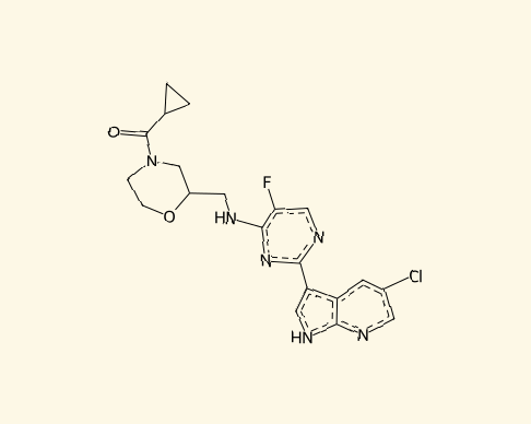 O=C(C1CC1)N1CCOC(CNc2nc(-c3c[nH]c4ncc(Cl)cc34)ncc2F)C1